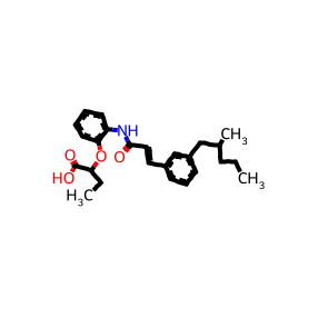 CCCC(C)Cc1cccc(C=CC(=O)Nc2ccccc2OC(CC)C(=O)O)c1